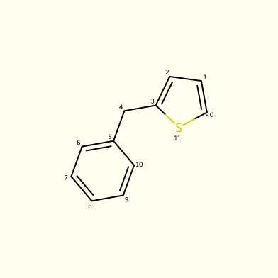 [c]1ccc(Cc2ccccc2)s1